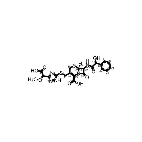 COC(C(=O)O)c1n[nH]c(SCC2=C(C(=O)O)N3C(=O)C(NC(=O)C(O)c4ccccc4)[C@@H]3SC2)n1